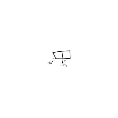 C[C@]12CCC1C[C@H]2O